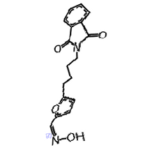 O=C1c2ccccc2C(=O)N1CCCCc1ccc(/C=N\O)o1